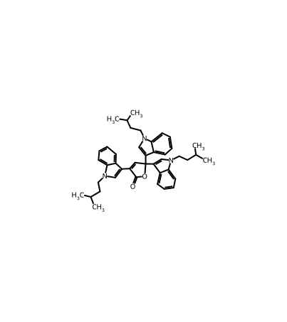 CC(C)CCn1cc(C2=CC(c3cn(CCC(C)C)c4ccccc34)(c3cn(CCC(C)C)c4ccccc34)OC2=O)c2ccccc21